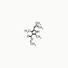 CCOC(=O)c1c(C)[nH]c(C=[N+](C)C)c1C